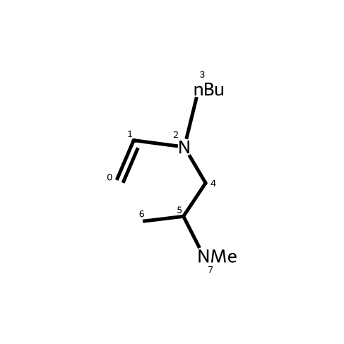 C=CN(CCCC)CC(C)NC